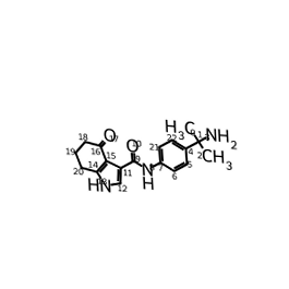 CC(C)(N)c1ccc(NC(=O)c2c[nH]c3c2C(=O)CCC3)cc1